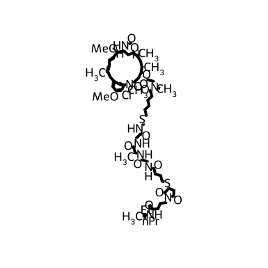 CCCC(C)(CC)NC(=O)CCCN1C(=O)CC(SCCCC(=O)NCC(=O)N[C@H](C)C(=O)NCC(=O)NCSCCCCCC(=O)N(C)CC(=O)O[C@H]2CC(=O)N(C)c3cc(cc(OC)c3Cl)C/C(C)=C/C=C/[C@@H](OC)[C@@H]3C[C@H](OC(=O)N3)[C@@H](C)C[C@@H]2C)C1=O